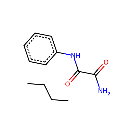 CCCC.NC(=O)C(=O)Nc1ccccc1